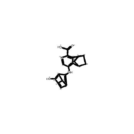 O=C(O)c1ncc(NC2=C3C=C4C(O)=C2C43)c2c1C1CCC2C1